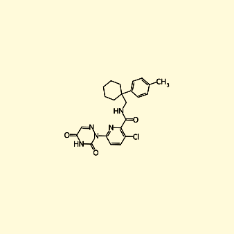 Cc1ccc(C2(CNC(=O)c3nc(-n4ncc(=O)[nH]c4=O)ccc3Cl)CCCCC2)cc1